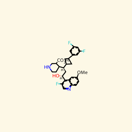 COc1ccc2ncc(F)c([C@H](O)C[C@H](C3CC(c4cc(F)cc(F)c4)C3)C3CCNCC3C(=O)O)c2c1